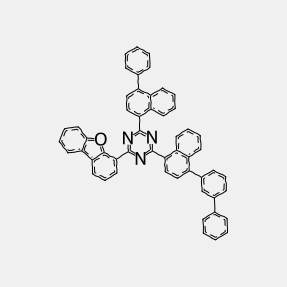 c1ccc(-c2cccc(-c3ccc(-c4nc(-c5ccc(-c6ccccc6)c6ccccc56)nc(-c5cccc6c5oc5ccccc56)n4)c4ccccc34)c2)cc1